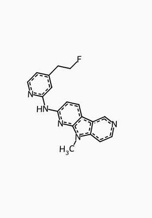 Cn1c2ccncc2c2ccc(Nc3cc(CCF)ccn3)nc21